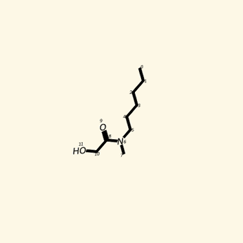 CCCCCCN(C)C(=O)CO